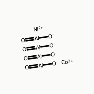 [Co+2].[Ni+2].[O]=[Al][O-].[O]=[Al][O-].[O]=[Al][O-].[O]=[Al][O-]